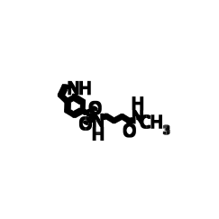 CNC(=O)CCCNS(=O)(=O)c1ccc2cc[nH]c2c1